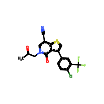 CC(=O)Cn1cc(C#N)c2scc(-c3ccc(Cl)c(C(F)(F)F)c3)c2c1=O